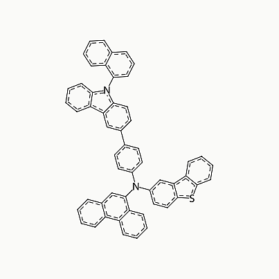 c1ccc2c(-n3c4ccccc4c4cc(-c5ccc(N(c6ccc7sc8ccccc8c7c6)c6cc7ccccc7c7ccccc67)cc5)ccc43)cccc2c1